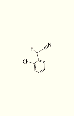 N#CC(F)c1ccccc1Cl